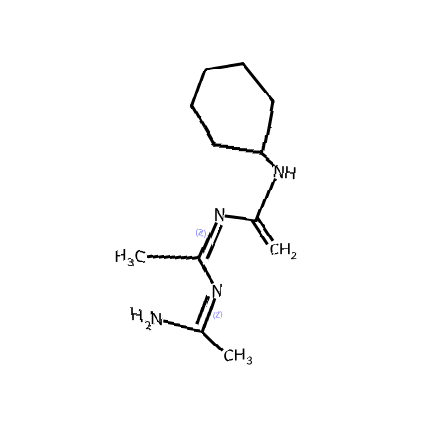 C=C(/N=C(C)\N=C(\C)N)NC1CCCCC1